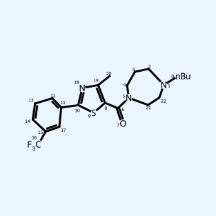 CCCCN1CCCN(C(=O)c2sc(-c3cccc(C(F)(F)F)c3)nc2C)CC1